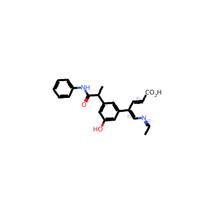 C\C=N/C=C(\C=C\C(=O)O)c1cc(O)cc(C(C)C(=O)Nc2ccccc2)c1